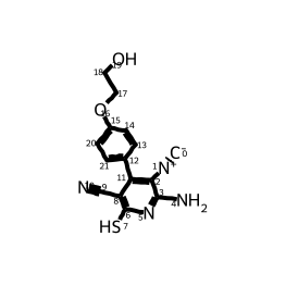 [C-]#[N+]c1c(N)nc(S)c(C#N)c1-c1ccc(OCCO)cc1